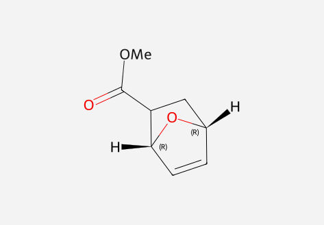 COC(=O)C1C[C@@H]2C=C[C@H]1O2